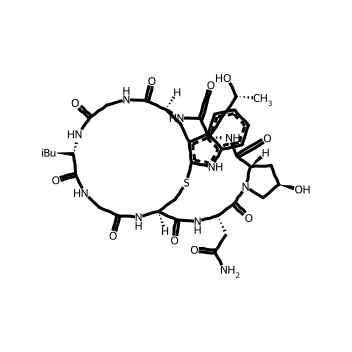 CC[C@H](C)[C@@H]1NC(=O)CNC(=O)[C@@H]2Cc3c([nH]c4ccccc34)SC[C@H](NC(=O)CNC1=O)C(=O)N[C@@H](CC(N)=O)C(=O)N1C[C@H](O)C[C@H]1C(=O)N[C@@H]([C@@H](C)O)C(=O)N2